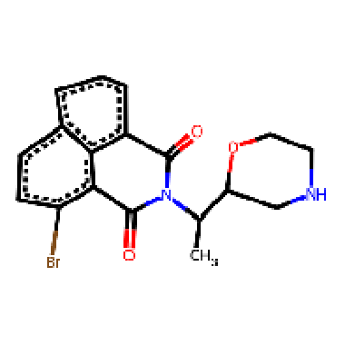 CC(C1CNCCO1)N1C(=O)c2cccc3ccc(Br)c(c23)C1=O